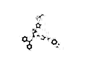 NS(=O)(=O)c1ccc(NC(=O)NC2CCN(c3nc(NCC(c4ccc(O)cc4)c4ccc(O)cc4)c4ncn([C@@H]5C[C@H](n6nnc(CO)n6)[C@@H](O)[C@H]5O)c4n3)C2)cc1